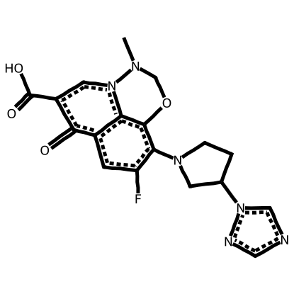 CN1COc2c(N3CCC(n4cncn4)C3)c(F)cc3c(=O)c(C(=O)O)cn1c23